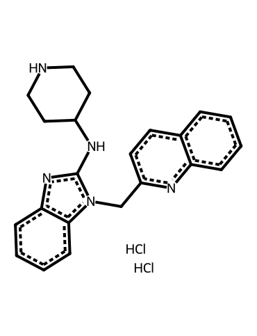 Cl.Cl.c1ccc2nc(Cn3c(NC4CCNCC4)nc4ccccc43)ccc2c1